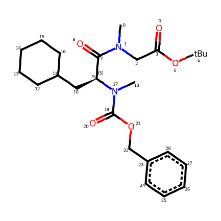 CN(CC(=O)OC(C)(C)C)C(=O)[C@H](CC1CCCCC1)N(C)C(=O)OCc1ccccc1